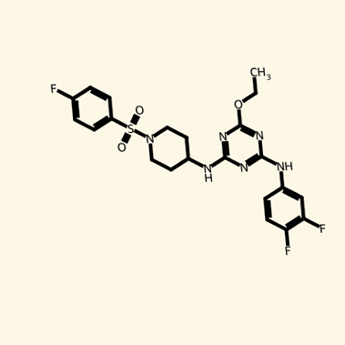 CCOc1nc(Nc2ccc(F)c(F)c2)nc(NC2CCN(S(=O)(=O)c3ccc(F)cc3)CC2)n1